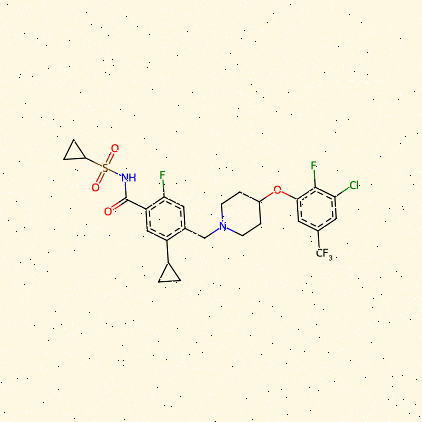 O=C(NS(=O)(=O)C1CC1)c1cc(C2CC2)c(CN2CCC(Oc3cc(C(F)(F)F)cc(Cl)c3F)CC2)cc1F